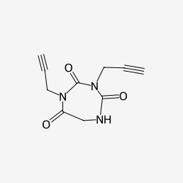 C#CCN1C(=O)CNC(=O)N(CC#C)C1=O